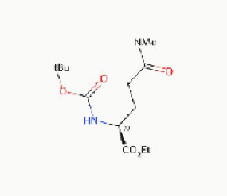 CCOC(=O)[C@H](CCC(=O)NC)NC(=O)OC(C)(C)C